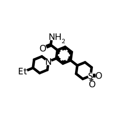 CCC1CCN(c2cc(C3CCS(=O)(=O)CC3)ccc2C(N)=O)CC1